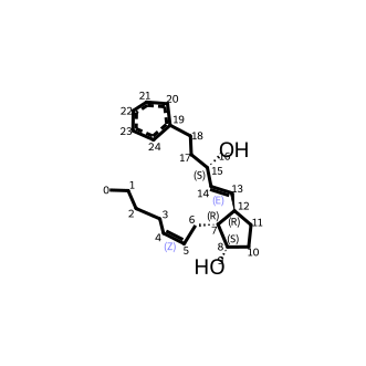 CCCC/C=C\C[C@H]1[C@@H](O)CC[C@@H]1/C=C/[C@@H](O)CCc1ccccc1